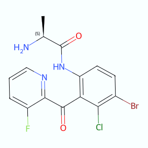 C[C@H](N)C(=O)Nc1ccc(Br)c(Cl)c1C(=O)c1ncccc1F